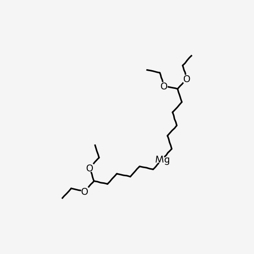 CCOC(CCCC[CH2][Mg][CH2]CCCCC(OCC)OCC)OCC